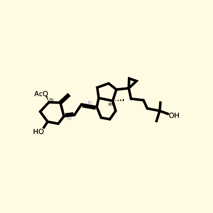 C=C1/C(=C\C=C2/CCC[C@@]3(C)C2CCC3C2(CCCC(C)(C)O)CC2)CC(O)C[C@@H]1OC(C)=O